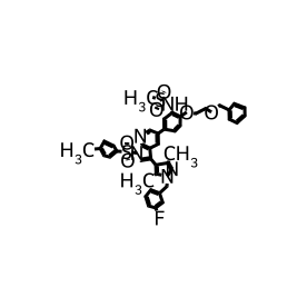 Cc1ccc(S(=O)(=O)n2cc(-c3c(C)nn(Cc4cccc(F)c4)c3C)c3cc(-c4ccc(OCCOCc5ccccc5)c(NS(C)(=O)=O)c4)cnc32)cc1